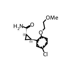 COCCOc1ccc(Cl)cc1[C@H]1C[C@@H]1C(N)=O